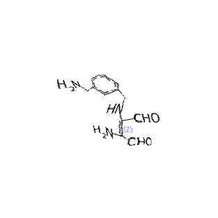 NCc1cccc(CN/C(C=O)=C(\N)C=O)c1